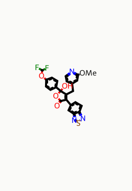 COc1cc(CC2=C(c3ccc4nsnc4c3)C(=O)OC2(O)c2ccc(OC(F)F)cc2)ccn1